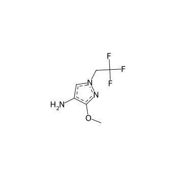 COc1nn(CC(F)(F)F)cc1N